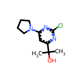 CC(C)(O)c1cc(N2CCCC2)nc(Cl)n1